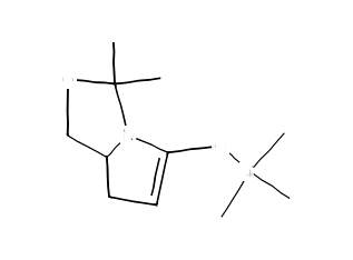 CC1(C)OCC2CC=C(O[Si](C)(C)C)N21